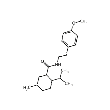 COc1ccc(CCNC(=O)C2CC(C)CCC2C(C)C)cc1